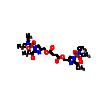 CC(=O)C1=NC(COC(=O)CCC(=O)OCc2cn(S(=O)(=O)N(C)C)c(C(C)=O)n2)CN1S(=O)(=O)N(C)C